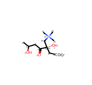 CC(O)CC(=O)[C@](O)(CC(=O)[O-])C[N+](C)(C)C